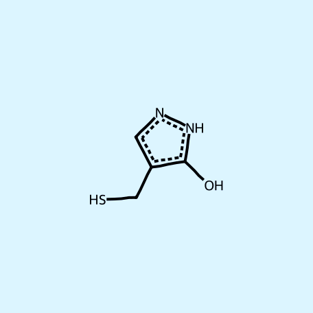 Oc1[nH]ncc1CS